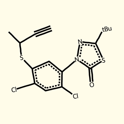 C#CC(C)Sc1cc(-n2nc(C(C)(C)C)sc2=O)c(Cl)cc1Cl